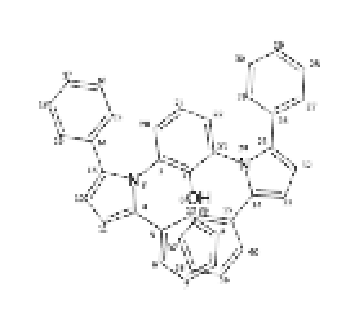 Oc1c(-n2c(-c3ccccc3)ccc2-c2ccccc2)cccc1-n1c(-c2ccccc2)ccc1-c1ccccc1